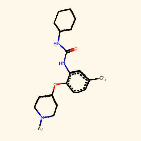 CC(=O)N1CCC(Oc2ccc(C(F)(F)F)cc2NC(=O)NC2CCCCC2)CC1